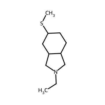 CCN1CC2CCC(SC)CC2C1